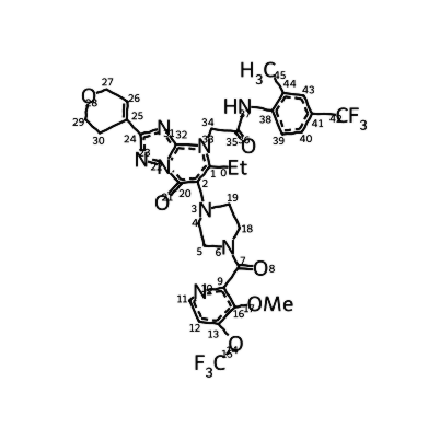 CCc1c(N2CCN(C(=O)c3nccc(OC(F)(F)F)c3OC)CC2)c(=O)n2nc(C3=CCOCC3)nc2n1CC(=O)Nc1ccc(C(F)(F)F)cc1C